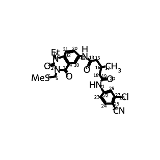 CCn1c(=O)n(CSC)c(=O)c2cc(NC(=O)CC(C)CC(=O)Nc3ccc(C#N)c(Cl)c3)ccc21